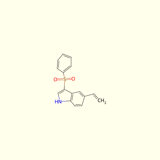 C=Cc1ccc2[nH]cc(S(=O)(=O)c3ccccc3)c2c1